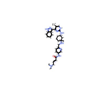 CCc1cnc(N[C@@H]2CCCC(C)(NCc3ccc(NC(=O)/C=C/CN(C)C)cn3)C2)nc1-c1n[nH]c2ccccc12